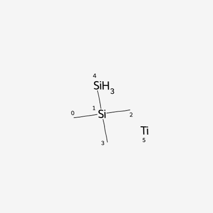 C[Si](C)(C)[SiH3].[Ti]